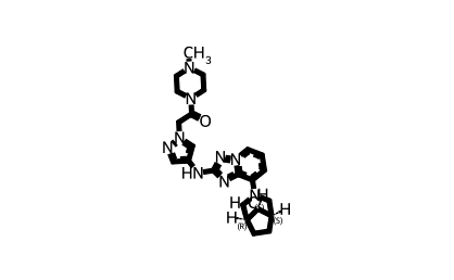 C[C@H]1[C@@H]2CC[C@H]1CN(c1cccn3nc(Nc4cnn(CC(=O)N5CCN(C)CC5)c4)nc13)C2